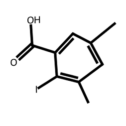 Cc1cc(C)c(I)c(C(=O)O)c1